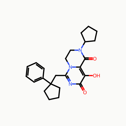 O=C1c2c(O)c(=O)nc(CC3(c4ccccc4)CCCC3)n2CCN1C1CCCC1